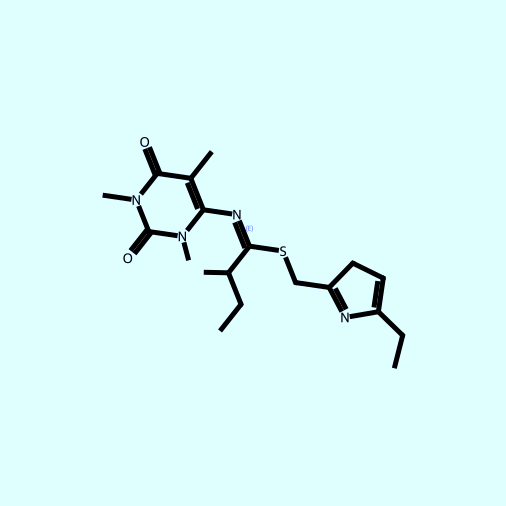 CCC1=CCC(CS/C(=N/c2c(C)c(=O)n(C)c(=O)n2C)C(C)CC)=N1